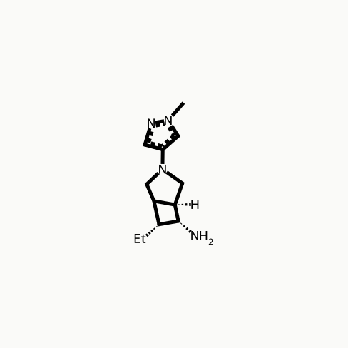 CC[C@@H]1C2CN(c3cnn(C)c3)C[C@H]2[C@@H]1N